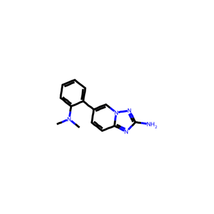 CN(C)c1ccccc1-c1ccc2nc(N)nn2c1